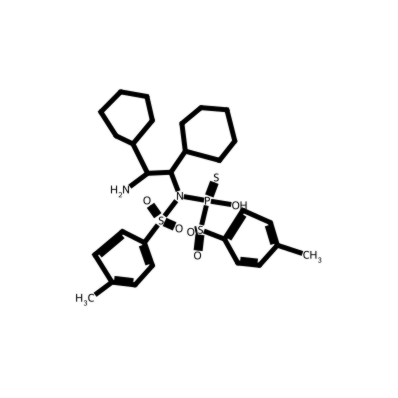 Cc1ccc(S(=O)(=O)N(C(C2CCCCC2)C(N)C2CCCCC2)P(O)(=S)S(=O)(=O)c2ccc(C)cc2)cc1